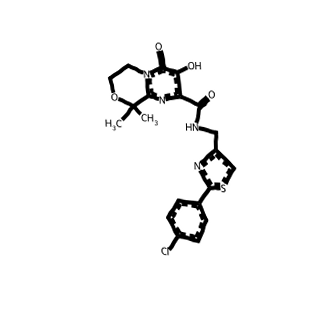 CC1(C)OCCn2c1nc(C(=O)NCc1csc(-c3ccc(Cl)cc3)n1)c(O)c2=O